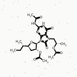 CC[C@H](C)[C@@H]1C[C@@H](OC(C)=O)[C@H](n2c(=O)n(C[C@H](C)OC(C)=O)c3c(=O)[nH]c(NC(C)=O)nc32)O1